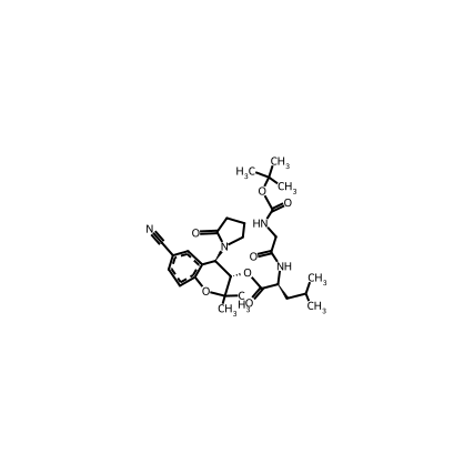 CC(C)C[C@H](NC(=O)CNC(=O)OC(C)(C)C)C(=O)O[C@H]1[C@H](N2CCCC2=O)c2cc(C#N)ccc2OC1(C)C